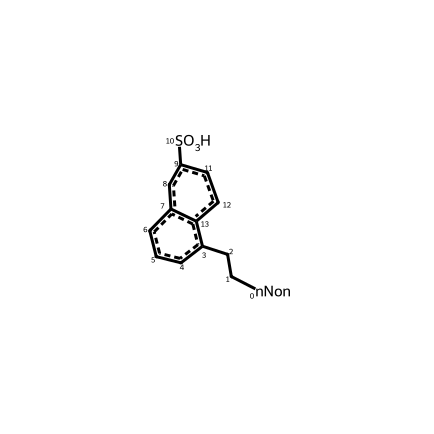 CCCCCCCCCCCc1cccc2cc(S(=O)(=O)O)ccc12